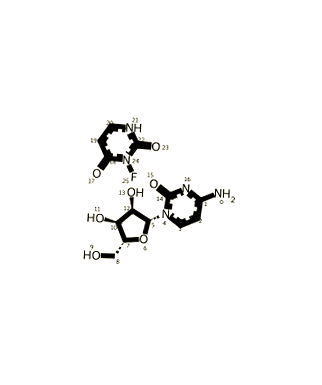 Nc1ccn([C@@H]2O[C@H](CO)[C@@H](O)[C@H]2O)c(=O)n1.O=c1cc[nH]c(=O)n1F